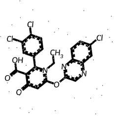 CCn1c(Oc2cnc3cc(Cl)ccc3n2)cc(=O)c(C(=O)O)c1-c1ccc(Cl)c(Cl)c1